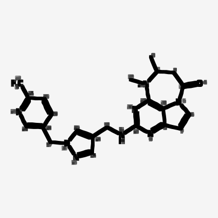 CC1CC(=O)n2ccc3nc(NCc4cnn(Cc5ccc(C(F)(F)F)nc5)c4)nc(c32)N1C